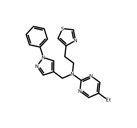 CCc1cnc(N(CCc2cs[c]n2)Cc2cnn(-c3ccccc3)c2)nc1